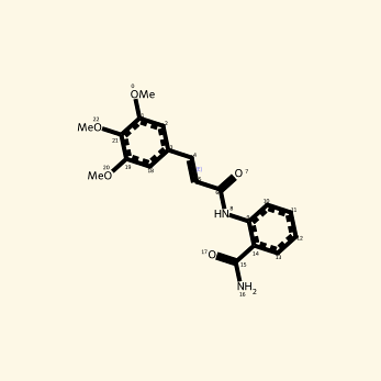 COc1cc(/C=C/C(=O)Nc2ccccc2C(N)=O)cc(OC)c1OC